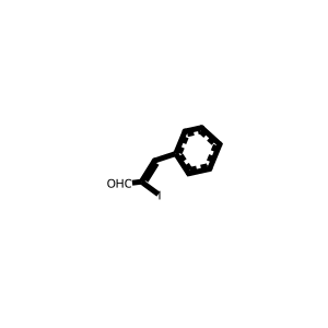 O=C/C(I)=C/c1ccccc1